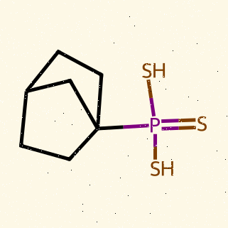 S=P(S)(S)C12CCC(CC1)C2